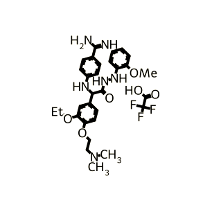 CCOc1cc(C(Nc2ccc(C(=N)N)cc2)C(=O)NNc2ccccc2OC)ccc1OCCN(C)C.O=C(O)C(F)(F)F